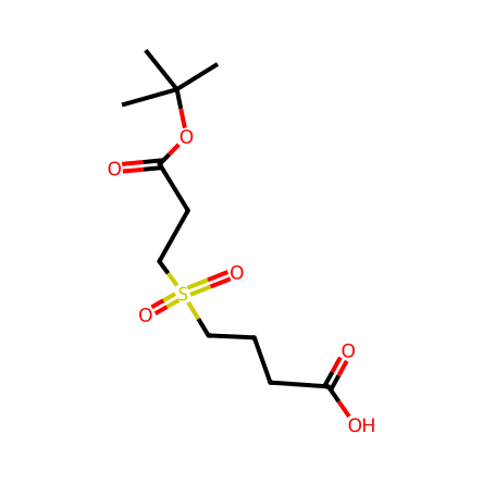 CC(C)(C)OC(=O)CCS(=O)(=O)CCCC(=O)O